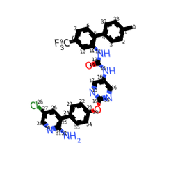 Cc1ccc(-c2ccc(C(F)(F)F)cc2NC(=O)Nc2cnc(Oc3ccc(-c4cc(Cl)cnc4N)cc3)nc2)cc1